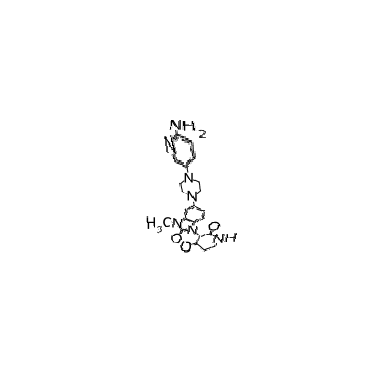 Cn1c(=O)n(C2C(=O)CCNC2=O)c2ccc(N3CCN(c4ccc(N)nc4)CC3)cc21